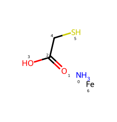 N.O=C(O)CS.[Fe]